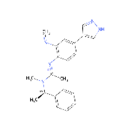 C=Nc1cc(-c2cn[nH]c2)ccc1/N=C(\C)N(C)[C@H](C)c1ccccc1